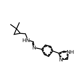 CC1(C)CC1CNC=Nc1ccc(-c2c[nH]cn2)cc1